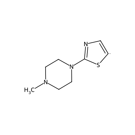 CN1CCN(c2nc[c]s2)CC1